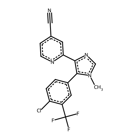 Cn1cnc(-c2cc(C#N)ccn2)c1-c1ccc(Cl)c(C(F)(F)F)c1